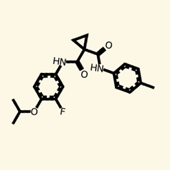 Cc1ccc(NC(=O)C2(C(=O)Nc3ccc(OC(C)C)c(F)c3)CC2)cc1